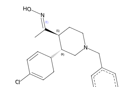 C/C(=N\O)[C@H]1CCN(Cc2ccccc2)C[C@@H]1C1C=CC(Cl)=CC1